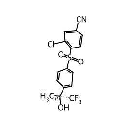 C[C@](O)(c1ccc(S(=O)(=O)c2ccc(C#N)cc2Cl)cc1)C(F)(F)F